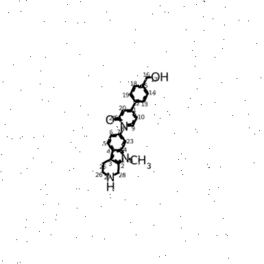 Cn1c2c(c3ccc(-n4ccc(-c5ccc(CO)cc5)cc4=O)cc31)CCNC2